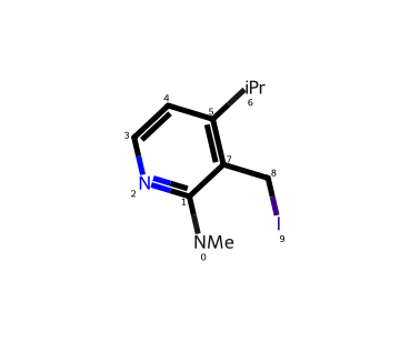 CNc1nccc(C(C)C)c1CI